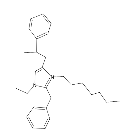 CCCCCCC[n+]1c(CC(C)c2ccccc2)cn(CC)c1Cc1ccccc1